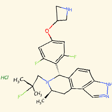 C[C@@H]1Cc2c(ccc3[nH]ncc23)[C@@H](c2c(F)cc(OC3CNC3)cc2F)N1CC(C)(C)F.Cl